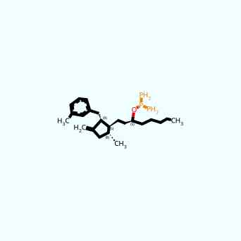 C=C1C[C@@H](C)[C@H](CC[C@H](CCCCC)OP(P)P)[C@H]1Cc1cccc(C)c1